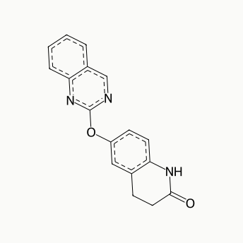 O=C1CCc2cc(Oc3ncc4ccccc4n3)ccc2N1